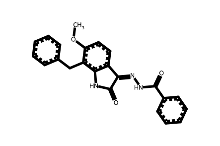 COc1ccc2c(c1Cc1ccccc1)NC(=O)/C2=N\NC(=O)c1ccccc1